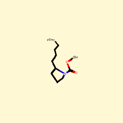 CCCCCCCCCCCCCCC1CCCN1C(=O)OC(C)(C)C